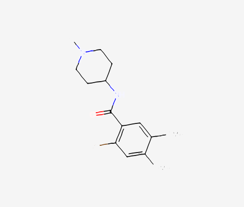 COc1cc(Br)c(C(=O)NC2CCN(C)CC2)cc1OC